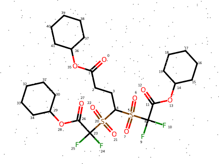 O=C(CCC(S(=O)(=O)C(F)(F)C(=O)OC1CCCCC1)S(=O)(=O)C(F)(F)C(=O)OC1CCCCC1)OC1CCCCC1